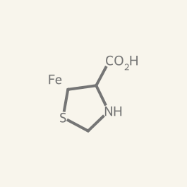 O=C(O)C1CSCN1.[Fe]